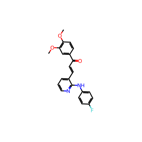 COc1ccc(C(=O)C=Cc2cccnc2Nc2ccc(F)cc2)cc1OC